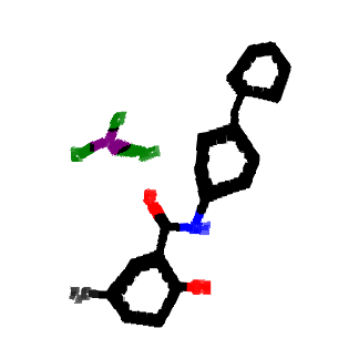 ClP(Cl)Cl.O=C(Nc1ccc(-c2ccccc2)cc1)c1cc(C(F)(F)F)ccc1O